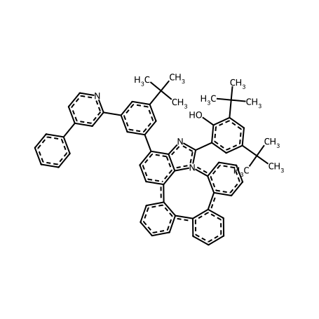 CC(C)(C)c1cc(-c2cc(-c3ccccc3)ccn2)cc(-c2ccc3c4ccccc4c4ccccc4c4ccccc4n4c(-c5cc(C(C)(C)C)cc(C(C)(C)C)c5O)nc2c34)c1